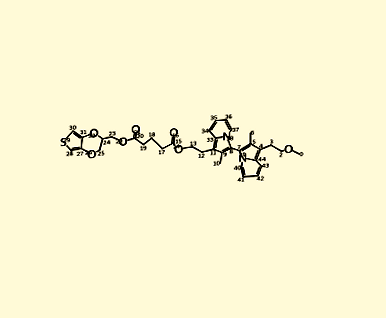 COCCc1c(C)c(-c2c(C)c(CCOC(=O)CCCC(=O)OCC3COc4cscc4O3)c3ccccn23)n2ccccc12